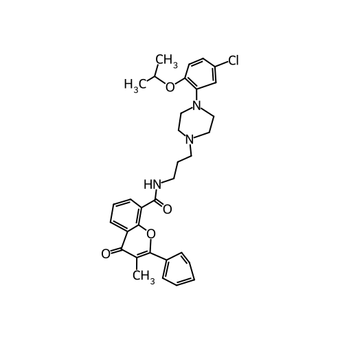 Cc1c(-c2ccccc2)oc2c(C(=O)NCCCN3CCN(c4cc(Cl)ccc4OC(C)C)CC3)cccc2c1=O